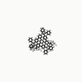 CC(C)(C)c1ccc(C2CC(c3ccccc3-c3ccc(-c4nc5ccccc5n4-c4ccccc4)cc3)CC(c3ccc(C(C)(C)C)cc3-c3ccc(-c4nc5ccccc5n4-c4ccccc4)cc3)C2)c(-c2ccc(-c3nc4ccccc4n3-c3ccccc3)cc2)c1